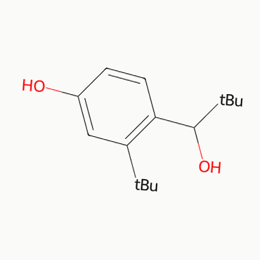 CC(C)(C)c1cc(O)ccc1C(O)C(C)(C)C